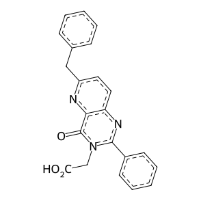 O=C(O)Cn1c(-c2ccccc2)nc2ccc(Cc3ccccc3)nc2c1=O